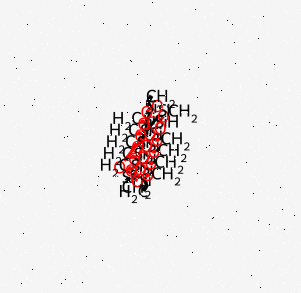 C=C[Si]12O[SiH]3O[Si]4(C=C)O[Si](C=C)(O1)O[Si]1(C=C)O[Si](C=C)(O4)O[Si]4(C=C)O[Si]5(C=C)O[Si]6(C=C)O[Si](C=C)(O3)O[Si](C=C)(O2)O[Si](C=C)(O6)O[Si](C=C)(O5)O[Si](C=C)(O1)O4